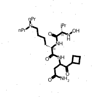 CCCN(CCC)CCCC[C@H](NC(=O)[C@@H](NO)C(C)C)C(=O)NC(CC(N)=O)C(=O)C1CCC1